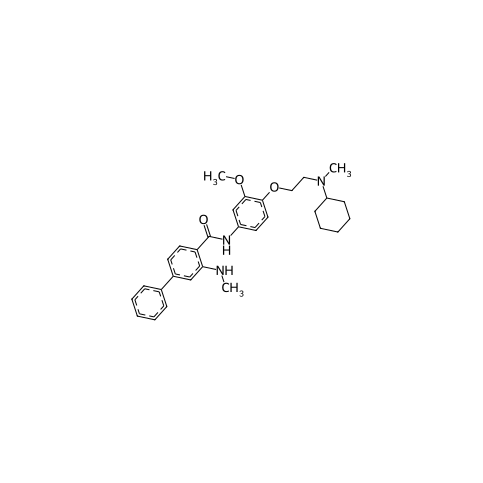 CNc1cc(-c2ccccc2)ccc1C(=O)Nc1ccc(OCCN(C)C2CCCCC2)c(OC)c1